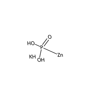 O=[P](O)(O)[Zn].[KH]